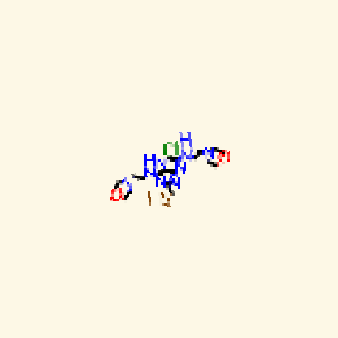 SCc1nc(NCCN2CCOCC2)c2nc(Cl)c(NCCN3CCOCC3)nc2n1